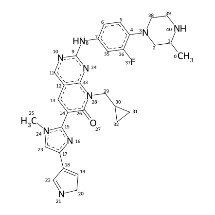 CC1CN(c2ccc(Nc3ncc4cc(-c5nc(C6=CCN=C6)cn5C)c(=O)n(CC5CC5)c4n3)cc2F)CCN1